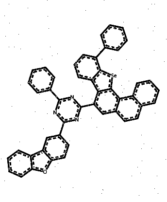 c1ccc(-c2nc(-c3ccc4oc5ccccc5c4c3)nc(-c3cc4ccc5ccccc5c4c4[se]c5c(-c6ccccc6)cccc5c34)n2)cc1